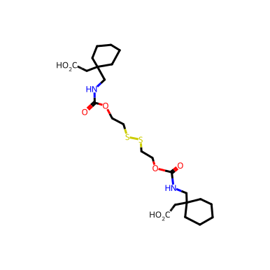 O=C(O)CC1(CNC(=O)OCCSSCCOC(=O)NCC2(CC(=O)O)CCCCC2)CCCCC1